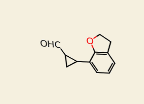 O=CC1CC1c1cccc2c1OCC2